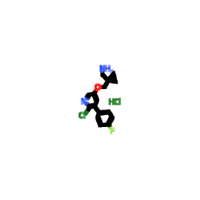 Cl.NCC1(COc2cnc(Cl)c(-c3ccc(F)cc3)c2)CC1